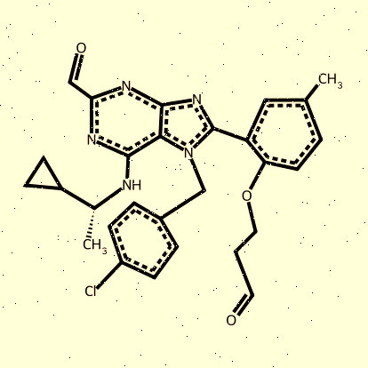 Cc1ccc(OCCC=O)c(-c2nc3nc(C=O)nc(N[C@H](C)C4CC4)c3n2Cc2ccc(Cl)cc2)c1